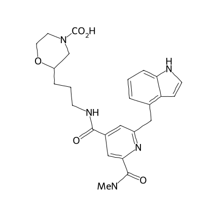 CNC(=O)c1cc(C(=O)NCCCC2CN(C(=O)O)CCO2)cc(Cc2cccc3[nH]ccc23)n1